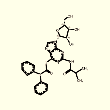 CC(C)C(=O)Nc1nc(OC(=O)N(c2ccccc2)c2ccccc2)c2ncn([C@@H]3O[C@H](CO)[C@@H](O)[C@H]3O)c2n1